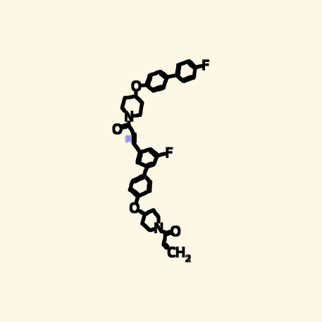 C=CC(=O)N1CCC(Oc2ccc(-c3cc(F)cc(/C=C/C(=O)N4CCC(Oc5ccc(-c6ccc(F)cc6)cc5)CC4)c3)cc2)CC1